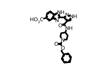 O=C(O)c1ccc2[nH]c(-c3n[nH]cc3C(=O)NC3CCN(C(=O)OCc4ccccc4)CC3)nc2c1